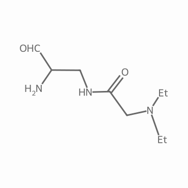 CCN(CC)CC(=O)NCC(N)C=O